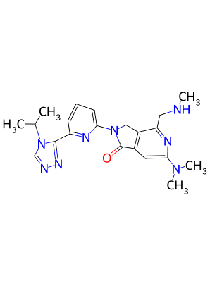 CNCc1nc(N(C)C)cc2c1CN(c1cccc(-c3nncn3C(C)C)n1)C2=O